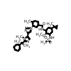 COc1c(NC(=O)c2ccc(C)c(-n3cc(-c4cnc(C(C)(C)c5ccccc5)n4C)nn3)c2)cc(C2(C)CC2)cc1NS(C)(=O)=O